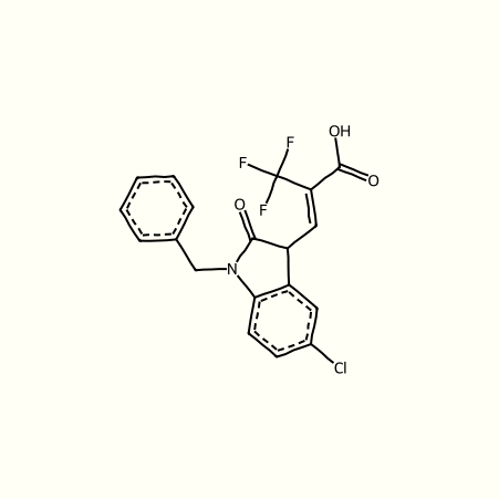 O=C(O)/C(=C/C1C(=O)N(Cc2ccccc2)c2ccc(Cl)cc21)C(F)(F)F